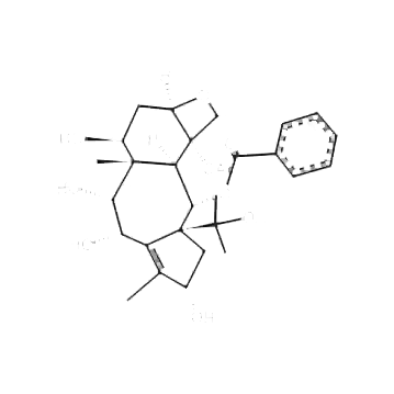 CC(=O)O[C@@]12CO[C@@H]1C[C@H](O)[C@]1(C)[C@@H]2[C@H](OC(=O)c2ccccc2)[C@]2(C(C)(C)O)C[C@H](O)C(C)=C2[C@H](O)[C@@H]1O